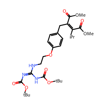 COC(=O)C(Cc1ccc(OCCNC(=NC(=O)OC(C)(C)C)NC(=O)OC(C)(C)C)cc1)=C(C(=O)OC)C(C)C